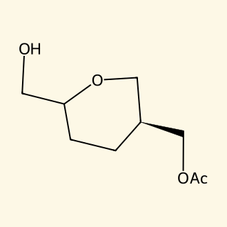 CC(=O)OC[C@H]1CCC(CO)OC1